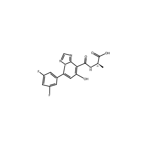 C[C@@H](NC(=O)c1c(O)cc(-c2cc(F)cc(F)c2)n2ncnc12)C(=O)O